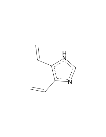 C=Cc1nc[nH]c1C=C